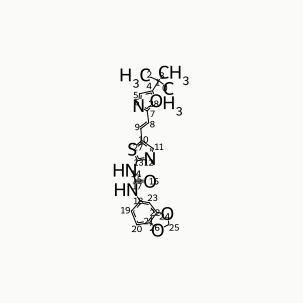 CC(C)(C)c1cnc(/C=C/c2cnc(NC(=O)Nc3ccc4c(c3)OCO4)s2)o1